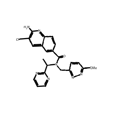 COc1ccc(CN(C(=O)c2ccc3nc(N)c(Cl)cc3c2)C(C)c2ncccn2)nn1